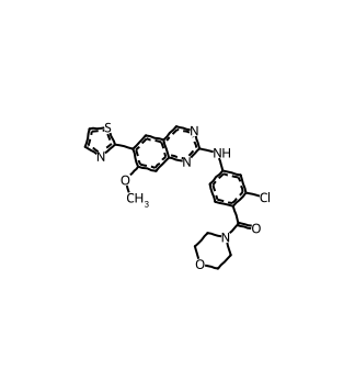 COc1cc2nc(Nc3ccc(C(=O)N4CCOCC4)c(Cl)c3)ncc2cc1-c1nccs1